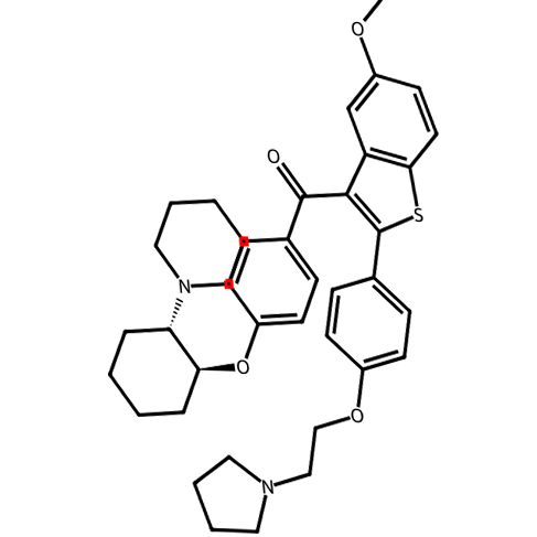 COc1ccc2sc(-c3ccc(OCCN4CCCC4)cc3)c(C(=O)c3ccc(O[C@H]4CCCC[C@@H]4N4CCCCC4)cc3)c2c1